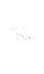 Cn1c(N2CCN(CCCO)CC2)cc(=O)n(C)c1=O.c1cc2ccc1-2